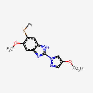 CC(C)Sc1cc2[nH]c(-n3cc(OC(=O)O)cn3)nc2cc1OC(F)(F)F